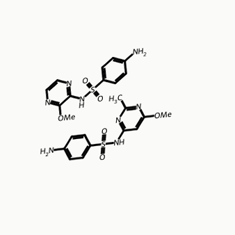 COc1cc(NS(=O)(=O)c2ccc(N)cc2)nc(C)n1.COc1nccnc1NS(=O)(=O)c1ccc(N)cc1